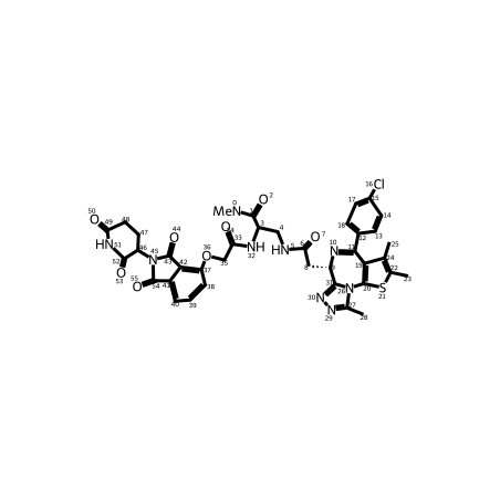 CNC(=O)C(CNC(=O)C[C@@H]1N=C(c2ccc(Cl)cc2)c2c(sc(C)c2C)-n2c(C)nnc21)NC(=O)COc1cccc2c1C(=O)N(C1CCC(=O)NC1=O)C2=O